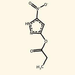 CCC(=O)Oc1cc([N+](=O)[O-])[nH]n1